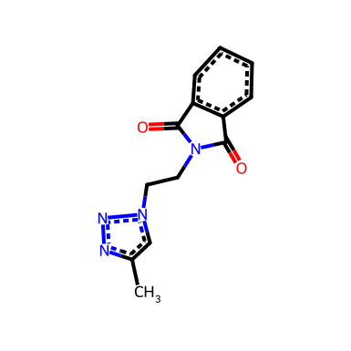 Cc1cn(CCN2C(=O)c3ccccc3C2=O)nn1